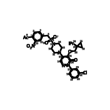 CC(=O)c1ccc(CS(=O)(=O)N2CCN(c3cnn(-c4cccc(Cl)c4)c(=O)c3OCC3(C(C)C)CC3)CC2)cc1[N+](=O)[O-]